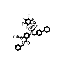 CCCCOc1ccc(N(Cc2ccc(C3CCCCC3)cc2)C(=O)CN(C)S(=O)(=O)c2c(F)c(F)c(F)c(F)c2F)cc1C(=O)OCc1ccccc1